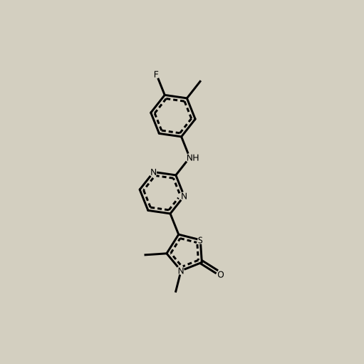 Cc1cc(Nc2nccc(-c3sc(=O)n(C)c3C)n2)ccc1F